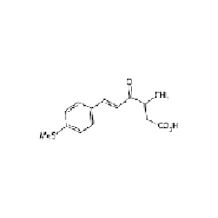 CSc1ccc(C=CC(=O)C(C)CC(=O)O)cc1